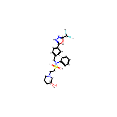 O=S(=O)(CCN1CCC[C@H](O)C1)N(Cc1ccc(-c2nnc(C(F)F)o2)cc1)c1ccccc1